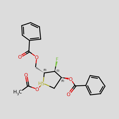 CC(=O)O[SH]1C[C@H](OC(=O)c2ccccc2)[C@H](F)[C@H]1COC(=O)c1ccccc1